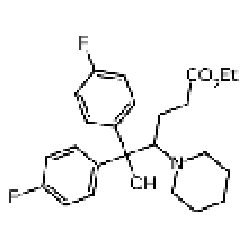 CCOC(=O)CCC(N1CCCCC1)C(O)(c1ccc(F)cc1)c1ccc(F)cc1